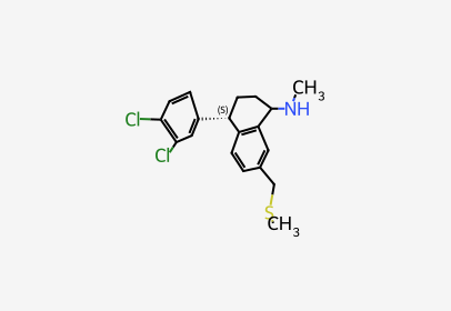 CNC1CC[C@@H](c2ccc(Cl)c(Cl)c2)c2ccc(CSC)cc21